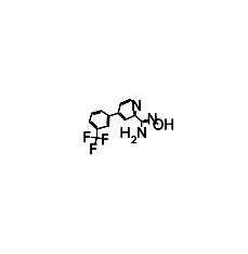 NC(=NO)c1cc(-c2cccc(C(F)(F)F)c2)ccn1